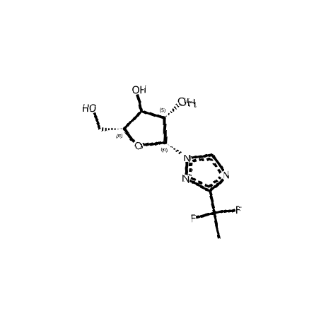 CC(F)(F)c1ncn([C@@H]2O[C@H](CO)C(O)[C@@H]2O)n1